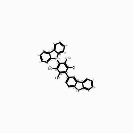 N#Cc1c(Cl)c(-c2ccc3sc4ccccc4c3c2)c(Cl)c(C#N)c1-n1c2ccccc2c2ccccc21